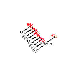 CCCCCCCCC(C)CCCCCCCCC(=O)O.CCCCCCCCCC(=O)O.CCCCCCCCCC(=O)O.CCCCCCCCCC(=O)O.CCCCCCCCCC(=O)O.CCCCCCCCCC(=O)O.CCCCCCCCCC(=O)O.CCCCCCCCCC(=O)O.CCCCCCCCCC(=O)O.CCCCCCCCCC(=O)O